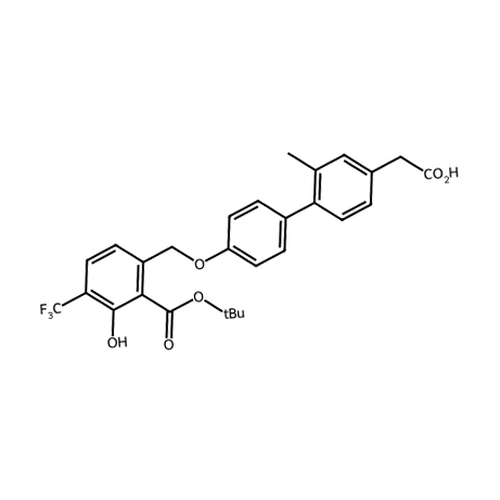 Cc1cc(CC(=O)O)ccc1-c1ccc(OCc2ccc(C(F)(F)F)c(O)c2C(=O)OC(C)(C)C)cc1